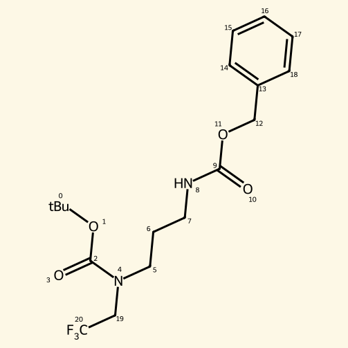 CC(C)(C)OC(=O)N(CCCNC(=O)OCc1ccccc1)CC(F)(F)F